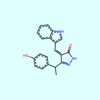 CC(C1=NNC(=O)/C1=C\c1c[nH]c2ccccc12)c1ccc(O)cc1